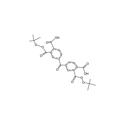 CC(C)(C)OOC(=O)c1cc(C(=O)c2ccc(C(=O)O)c(C(=O)OOC(C)(C)C)c2)ccc1C(=O)O